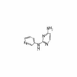 Nc1ccnc(Nc2cccnc2)n1